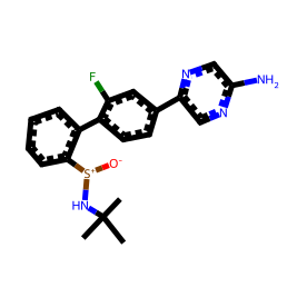 CC(C)(C)N[S+]([O-])c1ccccc1-c1ccc(-c2cnc(N)cn2)cc1F